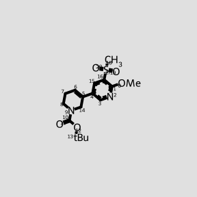 COc1ncc(C2=CCCN(C(=O)OC(C)(C)C)C2)cc1S(C)(=O)=O